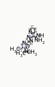 C/C=C(\C=N/CC12C=N/C(=C(/C(=N)N)c3ccccn3)N1C2)C(=O)N(C)C